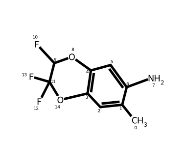 Cc1cc2c(cc1N)OC(F)C(F)(F)O2